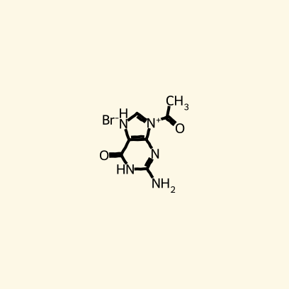 CC(=O)[n+]1c[nH]c2c(=O)[nH]c(N)nc21.[Br-]